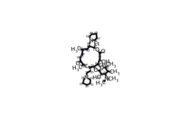 CC[C@H]1OC(=O)C[C@@H](O)[C@H](C)[C@@H](OC2OC(C)C(C)C(N(C)C)C2O)[C@@H](CCN2CCCCC2)C[C@@H](C)C(=O)/C=C/C(C)=C/[C@@H]1CN1CCCCC1